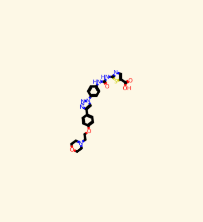 O=C(Nc1ccc(-n2cc(-c3ccc(OCCN4CCOCC4)cc3)nn2)cc1)Nc1ncc(C(=O)O)s1